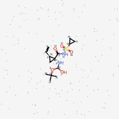 C=C[C@@H]1C[C@]1(NC(O)OC(C)(C)C)C(=O)NS(=O)(=O)C1CC1